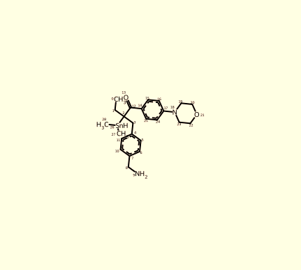 CC[C](Cc1ccc(CN)cc1)(C(=O)c1ccc(N2CCOCC2)cc1)[SnH]([CH3])[CH3]